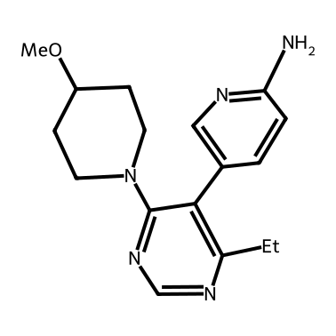 CCc1ncnc(N2CCC(OC)CC2)c1-c1ccc(N)nc1